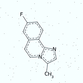 Cc1cnc2c3ccc(F)cc3ccn12